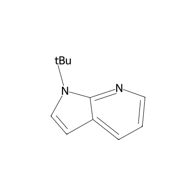 CC(C)(C)n1ccc2cccnc21